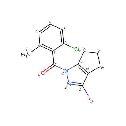 Cc1cccc(Cl)c1C(=O)n1nc(I)c2c1CCC2